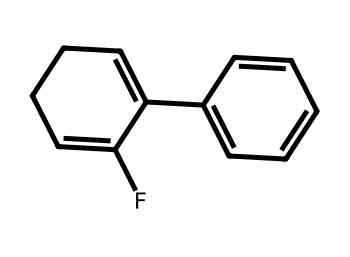 FC1=CCCC=C1c1ccccc1